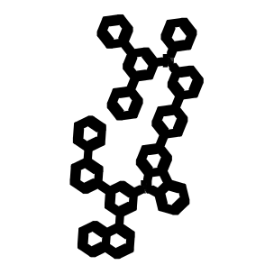 c1ccc(-c2cccc(-c3cc(-c4cccc5ccccc45)cc(-n4c5ccccc5c5cc(-c6ccc(-c7cccc(N(c8ccccc8)c8cc(-c9ccccc9)cc(-c9ccccc9)c8)c7)cc6)ccc54)c3)c2)cc1